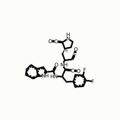 O=C=CC(C[C@@H]1CCNC1=C=O)NC(=C=O)C(Cc1ccc(F)c(F)c1)NC(=O)c1cc2ccccc2[nH]1